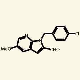 COc1cnc2c(c1)cc(C=O)n2Cc1ccc(Cl)cc1